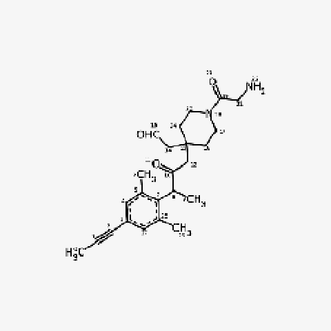 CC#Cc1cc(C)c(C(C)C(=O)CC2(CC=O)CCN(C(=O)CN)CC2)c(C)c1